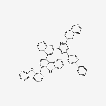 c1ccc(-c2ccc(-c3nc(-c4ccc5ccccc5c4)nc(-c4cc(-c5ccc(-c6cccc7c6oc6ccccc67)c6oc7ccccc7c56)c5ccccc5c4)n3)cc2)cc1